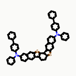 c1ccc(-c2ccc(N(c3ccccc3)c3ccc4cc5c(cc4c3)sc3c5ccc4sc5cc6cc(N(c7ccccc7)c7ccc(-c8ccccc8)cc7)ccc6cc5c43)cc2)cc1